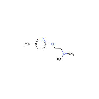 CN(C)CCNc1ccc([N+](=O)[O-])cn1